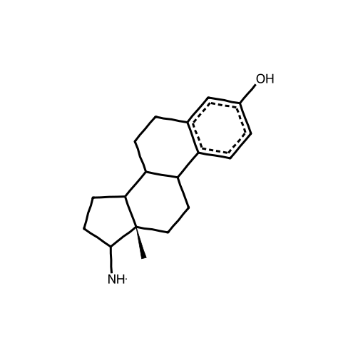 C[C@]12CCC3c4ccc(O)cc4CCC3C1CCC2[NH]